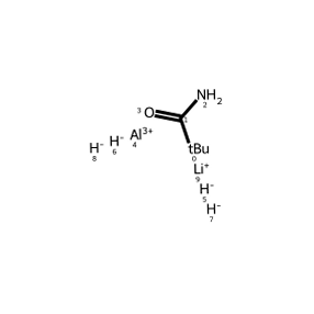 CC(C)(C)C(N)=O.[Al+3].[H-].[H-].[H-].[H-].[Li+]